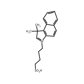 CC1(C)C=[N+](CCCCS(=O)(=O)O)c2ccc3ccccc3c21